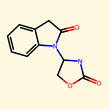 O=C1[N]C(N2C(=O)Cc3ccccc32)CO1